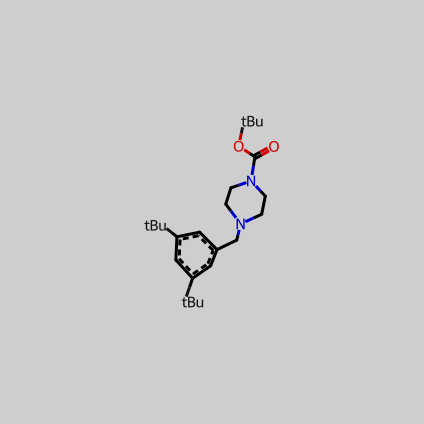 CC(C)(C)OC(=O)N1CCN(Cc2cc(C(C)(C)C)cc(C(C)(C)C)c2)CC1